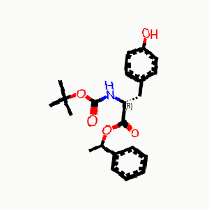 CC(OC(=O)[C@@H](Cc1ccc(O)cc1)NC(=O)OC(C)(C)C)c1ccccc1